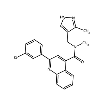 Cc1n[nH]cc1CN(C)C(=O)c1cc(-c2cccc(Cl)c2)nc2ccccc12